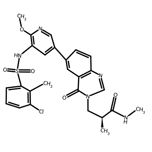 CNC(=O)[C@@H](C)Cn1cnc2ccc(-c3cnc(OC)c(NS(=O)(=O)c4cccc(Cl)c4C)c3)cc2c1=O